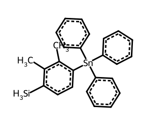 Cc1c([SiH3])cc[c]([Sn]([c]2ccccc2)([c]2ccccc2)[c]2ccccc2)c1C